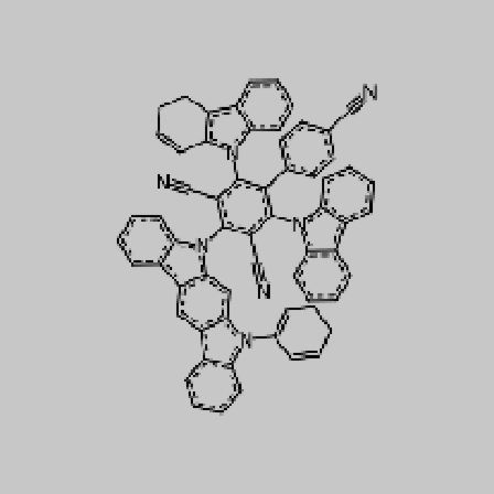 N#Cc1ccc(-c2c(-n3c4c(c5ccccc53)CCC=C4)c(C#N)c(-n3c4ccccc4c4cc5c6ccccc6n(C6=CCCC=C6)c5cc43)c(C#N)c2-n2c3ccccc3c3ccccc32)cc1